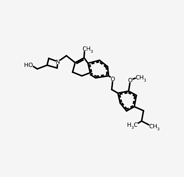 COc1cc(CC(C)C)ccc1COc1ccc2c(c1)CCC(CN1CC(CO)C1)=C2C